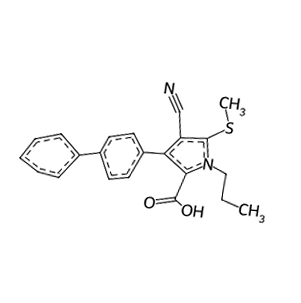 CCCn1c(SC)c(C#N)c(-c2ccc(-c3ccccc3)cc2)c1C(=O)O